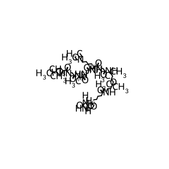 CCN(CC)CCCC[C@H](NC(=O)CNC(=O)[C@H](C)NC(=O)CNC(=O)c1ccc(C(C)(C)C)cc1)C(=O)NCC(=O)NC(C)(C)CCOC(C)(C)CCNC(=O)CCCC[C@@H]1OC[C@@H]2NC(=O)N[C@@H]21